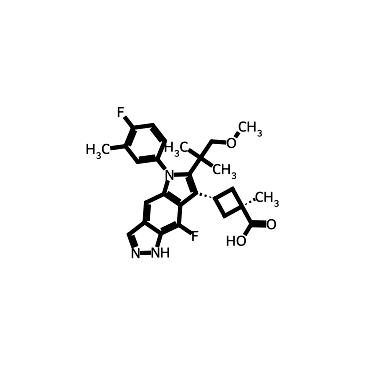 COCC(C)(C)c1c([C@H]2C[C@](C)(C(=O)O)C2)c2c(F)c3[nH]ncc3cc2n1-c1ccc(F)c(C)c1